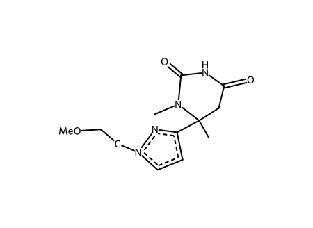 COCCn1ccc(C2(C)CC(=O)NC(=O)N2C)n1